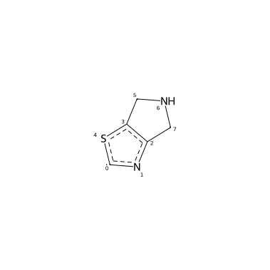 [c]1nc2c(s1)CNC2